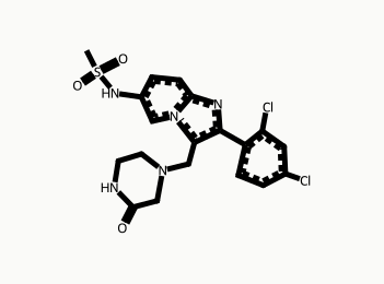 CS(=O)(=O)Nc1ccc2nc(-c3ccc(Cl)cc3Cl)c(CN3CCNC(=O)C3)n2c1